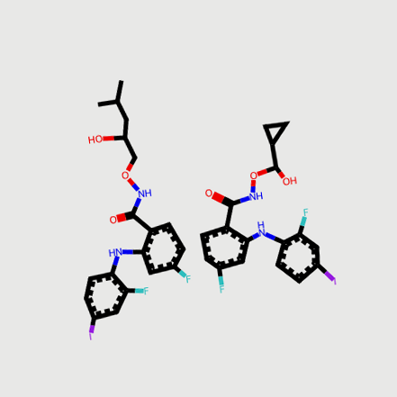 CC(C)CC(O)CONC(=O)c1ccc(F)cc1Nc1ccc(I)cc1F.O=C(NOC(O)C1CC1)c1ccc(F)cc1Nc1ccc(I)cc1F